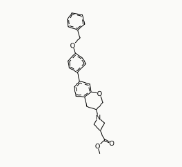 COC(=O)C1CN(C2COc3cc(-c4ccc(OCc5ccccc5)cc4)ccc3C2)C1